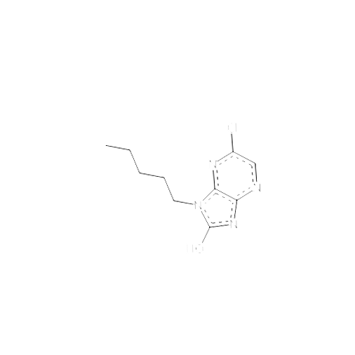 CCCCCn1c(O)nc2ncc(Cl)nc21